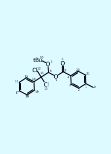 Cc1ccc(C(=O)OC(OC(C)(C)C)C(Cl)(Cl)c2ccccc2)cc1